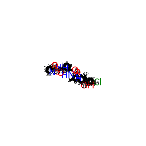 CC(C)[C@@H](NC(=O)c1cccc(C(=O)NS(=O)(=O)c2ccccn2)c1)C(=O)N1CC[C@](O)(c2ccc(Cl)cc2)C(C)(C)C1